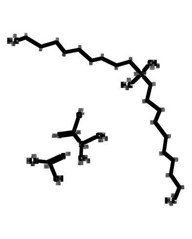 CCCCCCCCCC[N+](C)(C)CCCCCCCCCC.CN(C)C([O-])=S.NC(O)=S